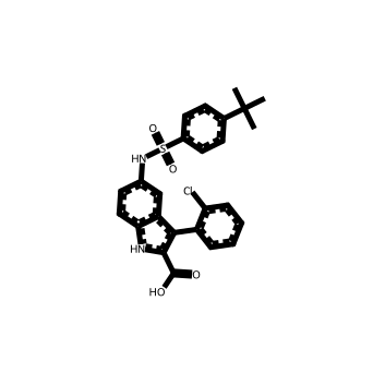 CC(C)(C)c1ccc(S(=O)(=O)Nc2ccc3[nH]c(C(=O)O)c(-c4ccccc4Cl)c3c2)cc1